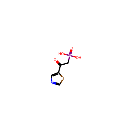 O=C(CP(=O)(O)O)c1cncs1